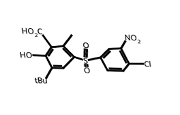 Cc1c(S(=O)(=O)c2ccc(Cl)c([N+](=O)[O-])c2)cc(C(C)(C)C)c(O)c1C(=O)O